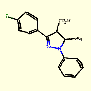 CCCCC1C(C(=O)OCC)C(c2ccc(F)cc2)=NN1c1ccccc1